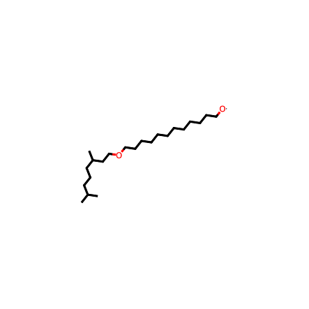 CC(C)CCCC(C)CCOCCCCCCCCCCCC[O]